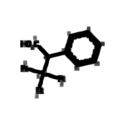 CC[Si](CC)(CC)C(C(=O)O)c1ccccc1